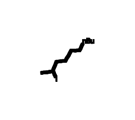 CCCCCCCCC(C)I